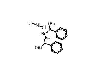 CC(C)(C)P(c1ccccc1)C(C)(C)C.CC(C)(C)P(c1ccccc1)C(C)(C)C.[Cl][Ni][Cl]